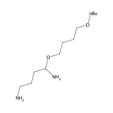 CCCCOCCCCOC(N)CCCN